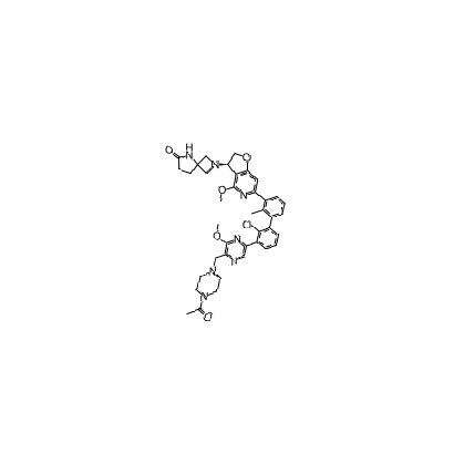 COc1nc(-c2cccc(-c3cccc(-c4cc5c(c(OC)n4)[C@@H](N4CC6(CCC(=O)N6)C4)CO5)c3C)c2Cl)cnc1CN1CCN(C(C)=O)CC1